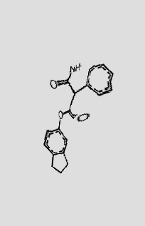 [NH]C(=O)C(C(=O)Oc1ccc2c(c1)CCC2)c1ccccc1